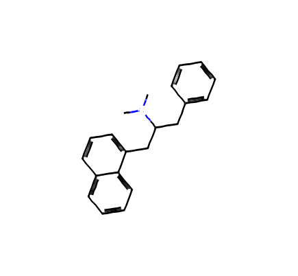 CN(C)C(Cc1ccccc1)Cc1cccc2ccccc12